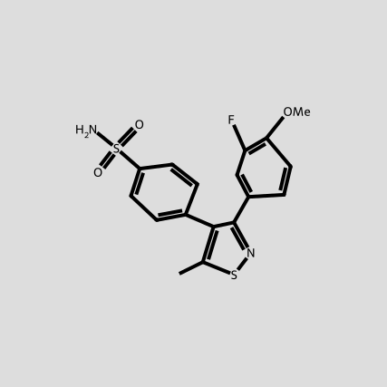 COc1ccc(-c2nsc(C)c2-c2ccc(S(N)(=O)=O)cc2)cc1F